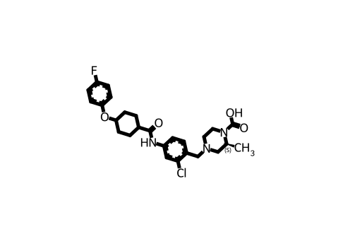 C[C@H]1CN(Cc2ccc(NC(=O)C3CCC(Oc4ccc(F)cc4)CC3)cc2Cl)CCN1C(=O)O